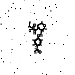 CCS(=O)(=O)NC1CCOCC1COc1ccc(C(C)=O)cc1